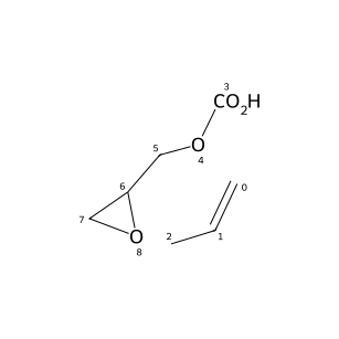 C=CC.O=C(O)OCC1CO1